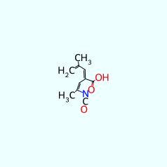 C=C(C)/C=C(\C=C(\C)N=C=O)C(=O)O